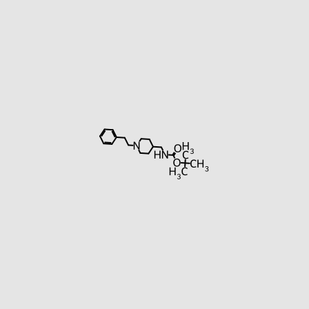 CC(C)(C)OC(=O)NCC1CCN(CCc2ccccc2)CC1